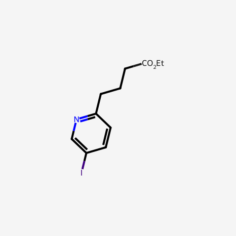 CCOC(=O)CCCc1ccc(I)cn1